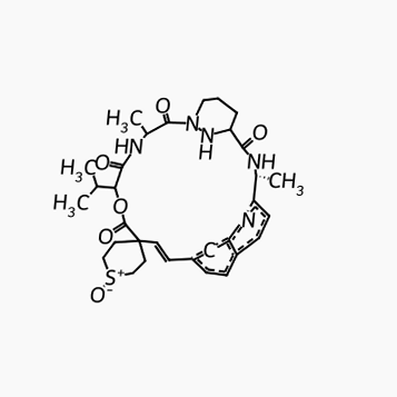 CC1NC(=O)C(C(C)C)OC(=O)C2(/C=C/c3ccc4ccc(nc4c3)[C@@H](C)NC(=O)C3CCCN(N3)C1=O)CC[S+]([O-])CC2